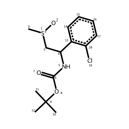 C[S+]([O-])CC(NC(=O)OC(C)(C)C)c1ccccc1Cl